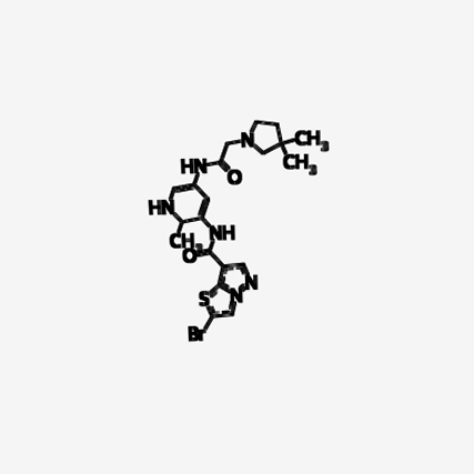 CC1NC=C(NC(=O)CN2CCC(C)(C)C2)C=C1NC(=O)c1cnn2cc(Br)sc12